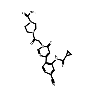 N#Cc1ccc(-c2cc(=O)n(CC(=O)N3CCN(C(N)=O)CC3)cn2)c(NC(=O)C2CC2)c1